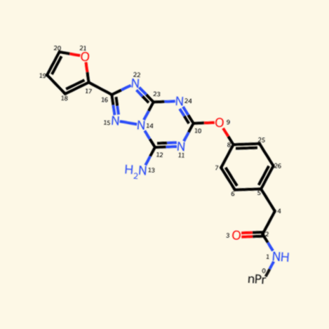 CCCNC(=O)Cc1ccc(Oc2nc(N)n3nc(-c4ccco4)nc3n2)cc1